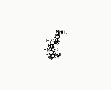 Cc1c(-c2cnc3[nH]cc([C@H](C)c4c(OC(F)F)ccc(F)c4Cl)c3c2)cnn1C1CCC(C(N)=O)CC1